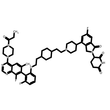 CCC(=O)N1CCN(c2ncnc3c(F)c(-c4c(F)cccc4OCCC4CCC(CCN5CCC(c6cc(F)cc7c6CN(C6CCC(=O)NC6=O)C7=O)CC5)CC4)c(C)cc23)CC1